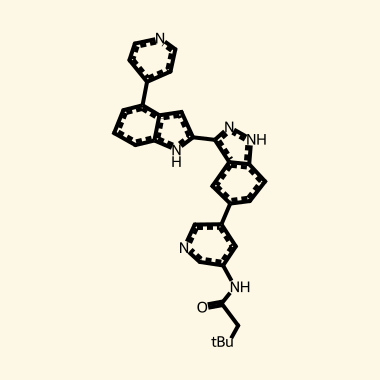 CC(C)(C)CC(=O)Nc1cncc(-c2ccc3[nH]nc(-c4cc5c(-c6ccncc6)cccc5[nH]4)c3c2)c1